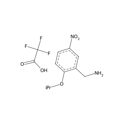 CC(C)Oc1ccc([N+](=O)[O-])cc1CN.O=C(O)C(F)(F)F